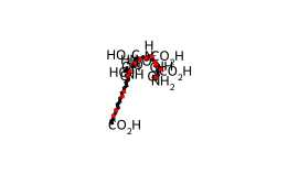 NC(=O)CC[C@H](NC(=O)CC[C@H](NC(=O)CC[C@H](NC(=O)CC[C@H](NC(=O)CCCCCCCCCCCCCCCCC(=O)O)C(O)O)C(=O)O)C(=O)O)C(=O)O